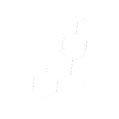 COc1ccc(C(O)C2CCCNC2)nn1